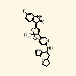 CC1(C)O/C(=C2/C(=O)Nc3cc(F)ccc32)C=C1c1ccc(NC(CC2CCCO2)c2cccs2)nc1